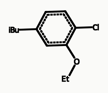 CCOc1cc(C(C)CC)ccc1Cl